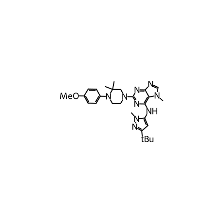 COc1ccc(N2CCN(c3nc(Nc4cc(C(C)(C)C)nn4C)c4c(ncn4C)n3)CC2(C)C)cc1